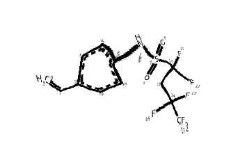 C=Cc1ccc(NS(=O)(=O)C(F)(F)CC(F)(F)C(F)(F)F)cc1